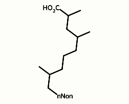 CCCCCCCCCCC(C)CCCC(C)CC(C)C(=O)O